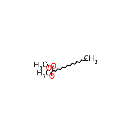 CCCCCCCCCCCCCC=C(C(C)=O)C(=O)OCC